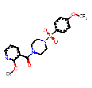 CCOc1ncccc1C(=O)N1CCN(S(=O)(=O)c2ccc(OC(F)(F)F)cc2)CC1